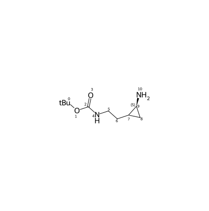 CC(C)(C)OC(=O)NCCC1C[C@@H]1N